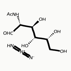 CC(=O)N[C@@H](C=O)[C@@H](O)[C@@H](O)[C@H](O)CO.[N-]=[N+]=N